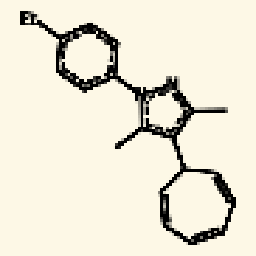 [CH2]Cc1ccc(-n2nc(C)c(C3C=CC=CC=C3)c2C)cc1